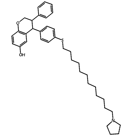 Oc1ccc2c(c1)C(c1ccc(SCCCCCCCCCCCCN3CCCC3)cc1)C(c1ccccc1)CO2